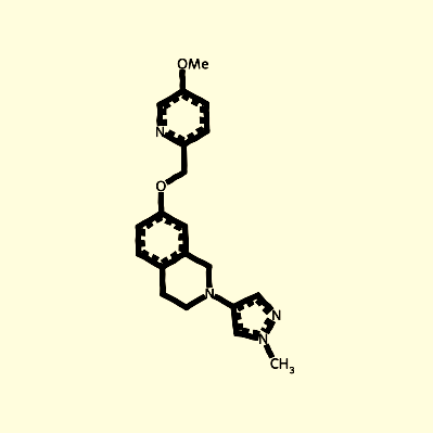 COc1ccc(COc2ccc3c(c2)CN(c2cnn(C)c2)CC3)nc1